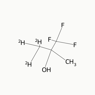 [2H]C([2H])([2H])C(C)(O)C(F)(F)F